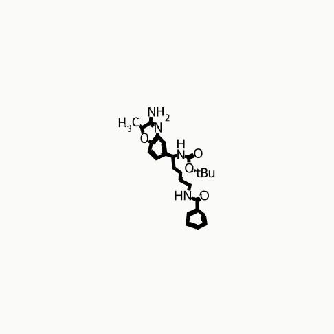 CC1Oc2ccc(C(CCCCNC(=O)c3ccccc3)NC(=O)OC(C)(C)C)cc2N=C1N